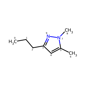 CCCc1cc(C)n(C)n1